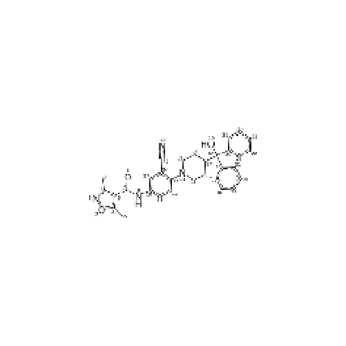 Cc1noc(C)c1C(=O)Nc1ccc(N2CCC(C(O)(c3ccccc3)c3ccccc3)CC2)c(C#N)c1